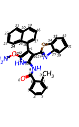 Cc1ccccc1C(=O)Nc1[nH]c(ON)c(-c2cccc3ccccc23)c1-c1nc2ccccc2s1